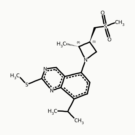 CSc1ncc2c(N3C[C@H](CS(C)(=O)=O)[C@H]3C)ccc(C(C)C)c2n1